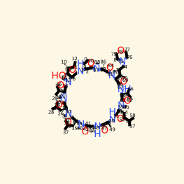 CC[C@@H]1NC(=O)[C@H]([C@H](O)[C@H](C)CC)N(C)C(=O)[C@H](C(C)C)N(C)C(=O)[C@H](CC(C)C)N(C)C(=O)[C@H](CC(C)C)N(C)C(=O)[C@@H](C)NC(=O)[C@H](C)NC(=O)[C@H](CCC(C)C)N(C)C(=O)[C@H](C(C)C)NC(=O)C([C@H](C)CCN2CCOCC2)N(C)C(=O)[C@@H](C)N(C)C1=O